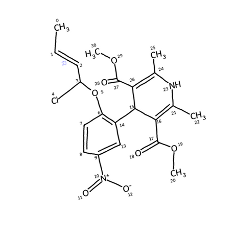 C/C=C/C(Cl)Oc1ccc([N+](=O)[O-])cc1C1C(C(=O)OC)=C(C)NC(C)=C1C(=O)OC